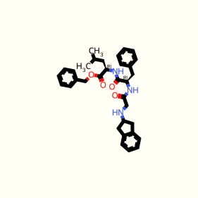 CC(C)C[C@@H](NC(=O)[C@@H](Cc1ccccc1)NC(=O)CNC1Cc2ccccc2C1)C(=O)OCc1ccccc1